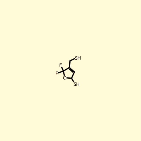 FC1(F)OC(S)C=C1CS